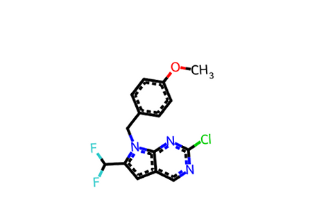 COc1ccc(Cn2c(C(F)F)cc3cnc(Cl)nc32)cc1